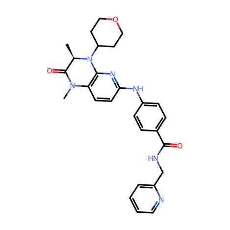 C[C@@H]1C(=O)N(C)c2ccc(Nc3ccc(C(=O)NCc4ccccn4)cc3)nc2N1C1CCOCC1